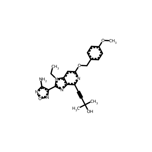 CCn1c(-c2nonc2N)nc2c(C#CC(C)(C)O)nc(OCc3ccc(OC)cc3)cc21